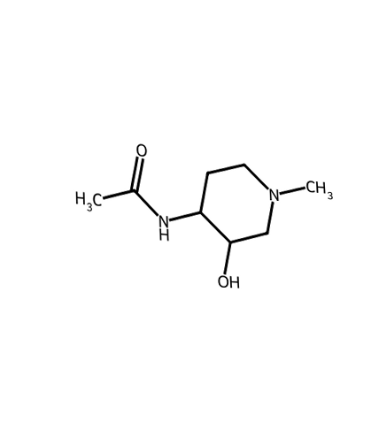 CC(=O)NC1CCN(C)CC1O